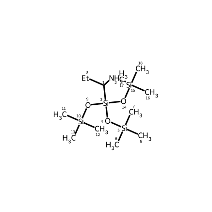 CCC(N)[Si](O[Si](C)(C)C)(O[Si](C)(C)C)O[Si](C)(C)C